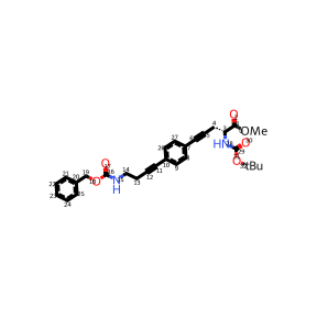 COC(=O)[C@@H](CC#Cc1ccc(C#CCCNC(=O)OCc2ccccc2)cc1)NC(=O)OC(C)(C)C